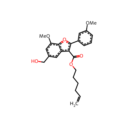 C=CCCCCOC(=O)c1c(-c2cccc(OC)c2)oc2c(OC)cc(CO)cc12